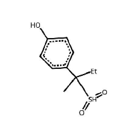 CCC(C)(c1ccc(O)cc1)[SH](=O)=O